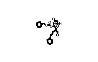 O=CC(CC=Cc1ccccc1)=C1O[C@@H]2CC(=O)N2C1OC(=O)OCc1ccccc1